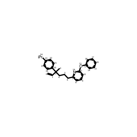 C=CC(C)(CCCc1cccc(Oc2ccccc2)n1)c1ccc(C(C)C)cc1